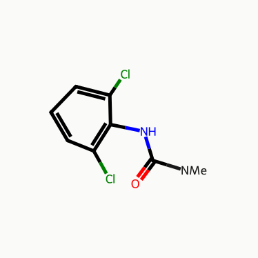 CNC(=O)Nc1c(Cl)cccc1Cl